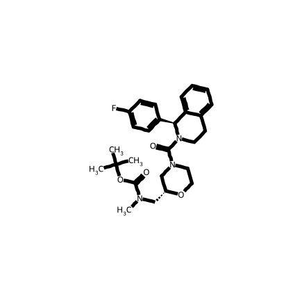 CN(C[C@@H]1CN(C(=O)N2CCc3ccccc3[C@@H]2c2ccc(F)cc2)CCO1)C(=O)OC(C)(C)C